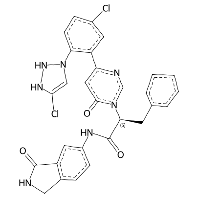 O=C1NCc2ccc(NC(=O)[C@H](Cc3ccccc3)n3cnc(-c4cc(Cl)ccc4N4C=C(Cl)NN4)cc3=O)cc21